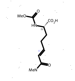 CNC(=O)/C=C/CC[C@H](NC(=O)OC)C(=O)O